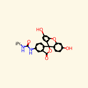 CC(C)NC(=O)Nc1ccc2c(c1)C(=O)OC21c2ccc(O)cc2Oc2cc(O)ccc21